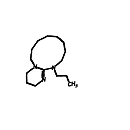 CCCN1CCCCCCCCN2CCCN=C12